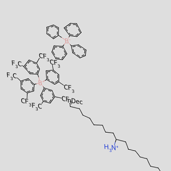 CCCCCCCCCCCCCCCCCCC([NH3+])CCCCCCCCCCCCCCCCCC.FC(F)(F)c1cc([B-](c2cc(C(F)(F)F)cc(C(F)(F)F)c2)(c2cc(C(F)(F)F)cc(C(F)(F)F)c2)c2cc(C(F)(F)F)cc(C(F)(F)F)c2)cc(C(F)(F)F)c1.c1ccc([B-](c2ccccc2)(c2ccccc2)c2ccccc2)cc1